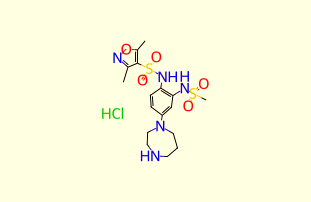 Cc1noc(C)c1S(=O)(=O)Nc1ccc(N2CCCNCC2)cc1NS(C)(=O)=O.Cl